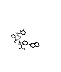 CC(=O)c1nn(CC(=O)N2CCC[C@H]2C(=O)Nc2cccc(C)n2)c2ccc(-c3ccc4ccccc4c3)cc12